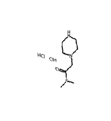 CN(C)C(=O)CN1CCNCC1.Cl.Cl